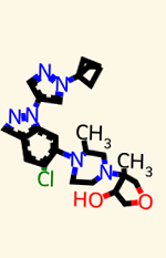 CC1CN(C2(C)COCC2O)CCN1c1cc2c(cnn2-c2cnn(C34CC(C3)C4)c2)cc1Cl